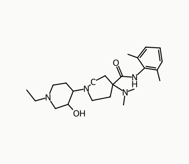 CCN1CCC(N2CCC(C(=O)Nc3c(C)cccc3C)(N(C)C)CC2)C(O)C1